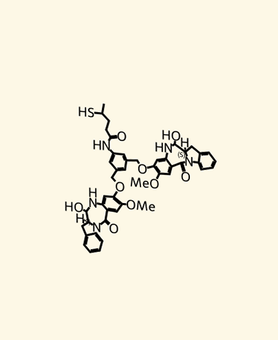 COc1cc2c(cc1OCc1cc(COc3cc4c(cc3OC)C(=O)N3c5ccccc5C[C@H]3C(O)N4)cc(NC(=O)CCC(C)S)c1)NC(O)[C@@H]1Cc3ccccc3N1C2=O